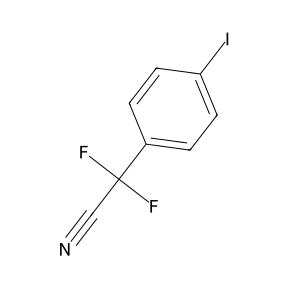 N#CC(F)(F)c1ccc(I)cc1